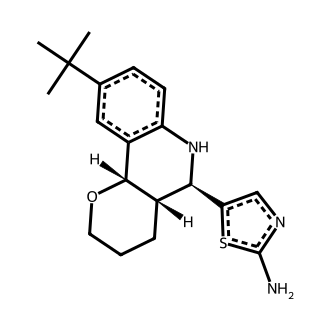 CC(C)(C)c1ccc2c(c1)[C@H]1OCCC[C@H]1[C@H](c1cnc(N)s1)N2